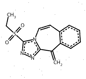 C=C1c2ccccc2C=Cn2c1nnc2S(=O)(=O)CC